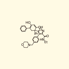 CCNC(=O)c1noc(C2(C(C)C)CC(c3ccccc3)=C(O)C=C2O)c1-c1ccc(CN2CCOCC2)cc1